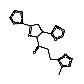 Cn1cnnc1CCC(=O)N1N=C(c2cccs2)CC1c1ccco1